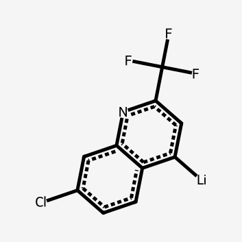 [Li][c]1cc(C(F)(F)F)nc2cc(Cl)ccc12